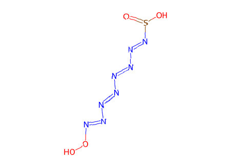 O=S(O)/N=N/N=N/N=N/N=N/OO